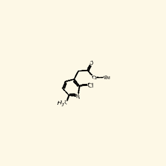 Cc1ccc(CC(=O)OC(C)(C)C)c(Cl)n1